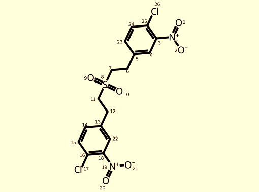 O=[N+]([O-])c1cc(CCS(=O)(=O)CCc2ccc(Cl)c([N+](=O)[O-])c2)ccc1Cl